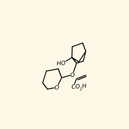 C=CC(=O)O.OC12CCC(CC1OC1CCCCO1)C2